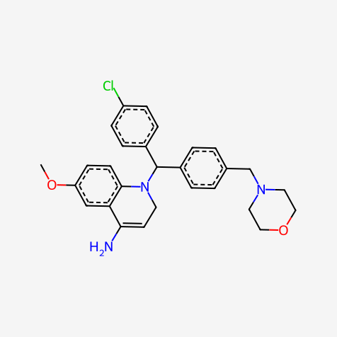 COc1ccc2c(c1)C(N)=CCN2C(c1ccc(Cl)cc1)c1ccc(CN2CCOCC2)cc1